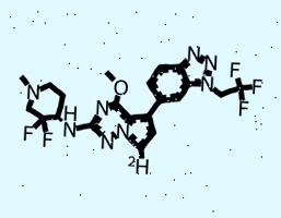 [2H]c1cc(-c2ccc3nnn(CC(F)(F)F)c3c2)c2c(OC)nc(N[C@@H]3CCN(C)CC3(F)F)nn12